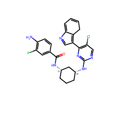 Nc1ccc(C(=O)N[C@H]2CCC[C@@H](Nc3ncc(Cl)c(C4=C5CC=CC=C5N=C4)n3)C2)cc1F